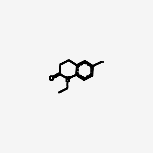 [CH2]c1ccc2c(c1)CCC(=O)N2CC